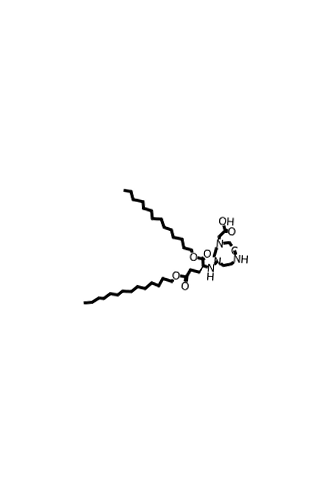 CCCCCCCCCCCCCCOC(=O)CC[C@H](NN1CCNCCN(CC(=O)O)CC1)C(=O)OCCCCCCCCCCCCCC